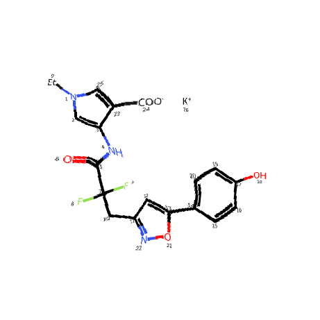 CCn1cc(NC(=O)C(F)(F)Cc2cc(-c3ccc(O)cc3)on2)c(C(=O)[O-])c1.[K+]